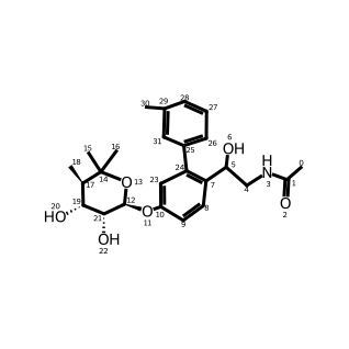 CC(=O)NCC(O)c1ccc(O[C@@H]2OC(C)(C)[C@H](C)[C@@H](O)[C@H]2O)cc1-c1cccc(C)c1